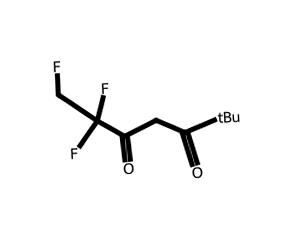 CC(C)(C)C(=O)CC(=O)C(F)(F)CF